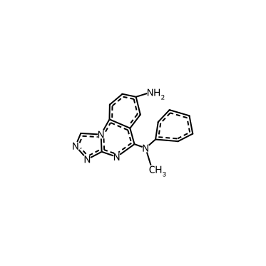 CN(c1ccccc1)c1nc2nncn2c2ccc(N)cc12